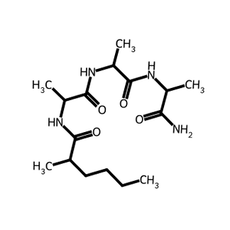 CCCCC(C)C(=O)NC(C)C(=O)NC(C)C(=O)NC(C)C(N)=O